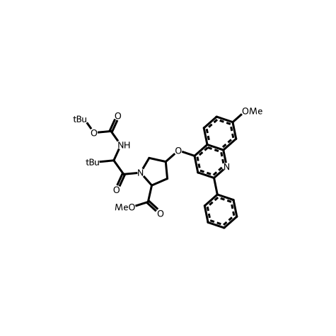 COC(=O)C1CC(Oc2cc(-c3ccccc3)nc3cc(OC)ccc23)CN1C(=O)C(NC(=O)OC(C)(C)C)C(C)(C)C